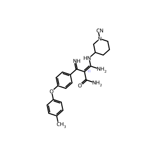 Cc1ccc(Oc2ccc(C(=N)/C(C(N)=O)=C(/N)NC3CCCN(C#N)C3)cc2)cc1